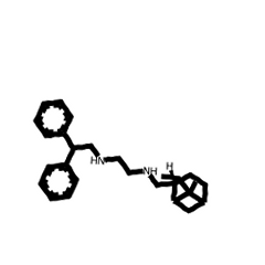 CCC1(C)C2CC[C@@H](CNCCNCC(c3ccccc3)c3ccccc3)C1C2